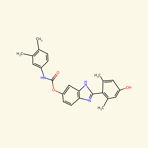 Cc1ccc(NC(=O)Oc2ccc3nc(-c4c(C)cc(O)cc4C)[nH]c3c2)cc1C